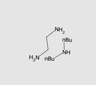 CCCCNCCCC.NCCN